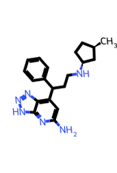 C[C@@H]1CC[C@H](NCCC(c2ccccc2)c2cc(N)nc3[nH]nnc23)C1